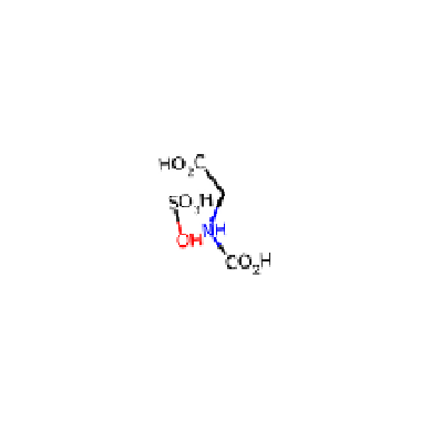 O=C(O)CNC(=O)O.O=S(=O)(O)O